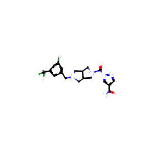 NC(=O)c1cnn(C(=O)N2CC3CN(Cc4cc(Cl)cc(C(F)(F)F)c4)CC3C2)c1